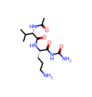 CC(=O)N[C@H](C(=O)N[C@@H](CCCN)C(=O)NC(N)=O)C(C)C